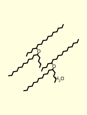 CCCCCCCCCCCC(CCCC)OC(CCCC)CCCCCCCCCCC.CCCCCCCCCCCC(CCCC)OC(CCCC)CCCCCCCCCCC.O